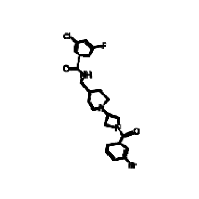 O=C(NCC1CCN(C2CN(C(=O)c3cccc(Br)c3)C2)CC1)c1cc(F)cc(Cl)c1